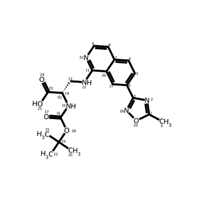 Cc1nc(-c2ccc3ccnc(NC[C@H](NC(=O)OC(C)(C)C)C(=O)O)c3c2)no1